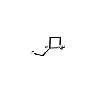 FC[C@H]1CCN1